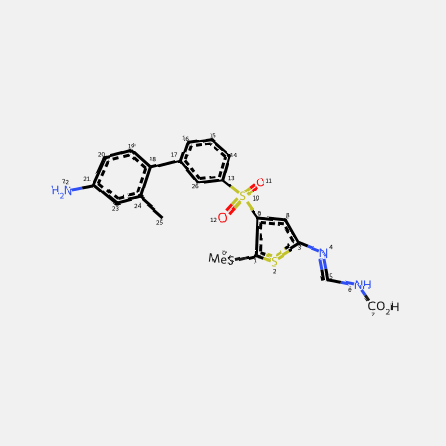 CSc1sc(N=CNC(=O)O)cc1S(=O)(=O)c1cccc(-c2ccc(N)cc2C)c1